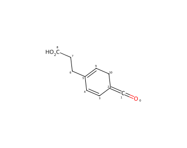 O=C=C1C=CC(CCC(=O)O)=CC1